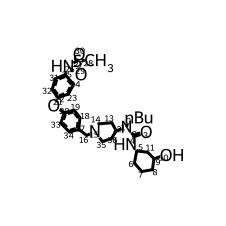 CCCCN(C(=O)NC1CCCC(O)C1)C1CCN(Cc2ccc(Oc3ccc(NS(C)(=O)=O)cc3)cc2)CC1